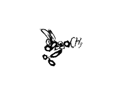 Cc1ccc(S(=O)(=O)Oc2ccc(S(=O)(=O)[O-])c3ccccc23)cc1.c1ccc([S+](c2ccccc2)c2ccccc2)cc1